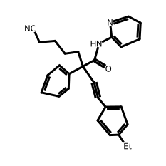 CCc1ccc(C#CC(CCCCC#N)(C(=O)Nc2ccccn2)c2ccccc2)cc1